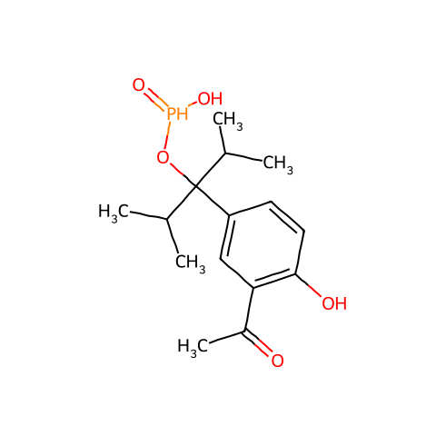 CC(=O)c1cc(C(O[PH](=O)O)(C(C)C)C(C)C)ccc1O